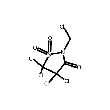 O=C1N(CCl)S(=O)(=O)C(Cl)(Cl)C1(Cl)Cl